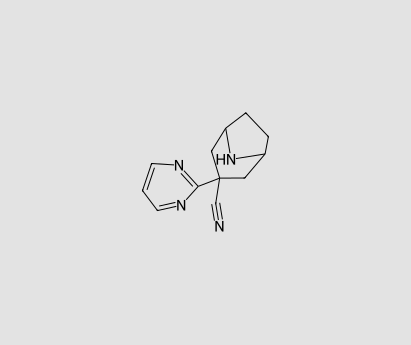 N#CC1(c2ncccn2)CC2CCC(C1)N2